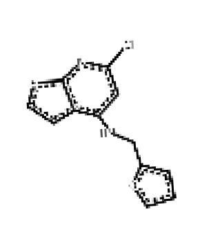 Clc1cc(NCc2ccco2)c2ccsc2n1